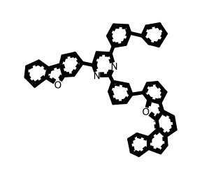 c1ccc(-c2cccc(-c3cc(-c4ccc5c(c4)oc4ccccc45)nc(-c4cccc(-c5cccc6c5oc5c6ccc6ccc7ccccc7c65)c4)n3)c2)cc1